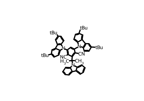 CC(C)(C)c1ccc2c(c1)c1cc(C(C)(C)C)ccc1n2-c1cc(-n2c3ccc(C(C)(C)C)cc3c3cc(C(C)(C)C)ccc32)c(C#N)c(C(C)(C)n2c3ccccc3c3ccccc32)c1C#N